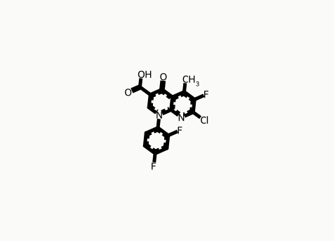 Cc1c(F)c(Cl)nc2c1c(=O)c(C(=O)O)cn2-c1ccc(F)cc1F